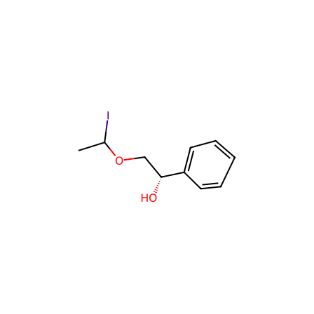 CC(I)OC[C@@H](O)c1ccccc1